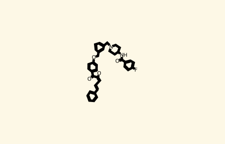 O=C(NC1CCN(Cc2cccc(COc3ccc4c(c3)OC(=CC=Cc3ccccc3)C4=O)c2)CC1)c1ccc(F)cc1